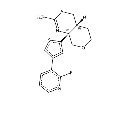 NC1=N[C@@]2(c3cc(-c4cccnc4F)cs3)COCC[C@H]2CS1